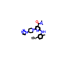 Cc1ccc(C(C)(C)C)cc1Nc1cc(C(=O)N(C)C)cc(N2CCC(n3ccnn3)CC2)n1